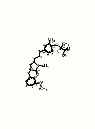 COc1cccc(CN2CC(CCCc3ccc(OC(C)(C)C(=O)O)c(C)c3)N(C)C2=O)c1